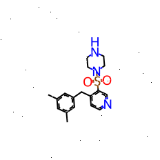 Cc1cc(C)cc(Cc2ccncc2S(=O)(=O)N2CCNCC2)c1